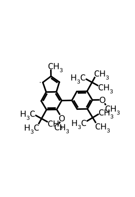 COc1c(C(C)(C)C)cc(-c2c3c(cc(C(C)(C)C)c2OC)[CH]C(C)=C3)cc1C(C)(C)C